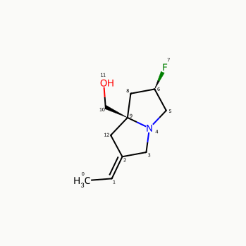 CC=C1CN2C[C@H](F)C[C@@]2(CO)C1